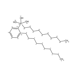 CCCCCCCCCCc1ccccc1P(O)(O)(O)CCCCCCCCCC